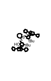 CC(C)(C)c1cc(CSC2CCCCCC[C@@H]2SCc2cc(C(C)(C)C)cc(C34CC5CC(c6ccccc6)(CC(c6ccccc6)(C5)C3)C4)c2O)c(O)c(C23CC4CC(c5ccccc5)(CC(c5ccccc5)(C4)C2)C3)c1